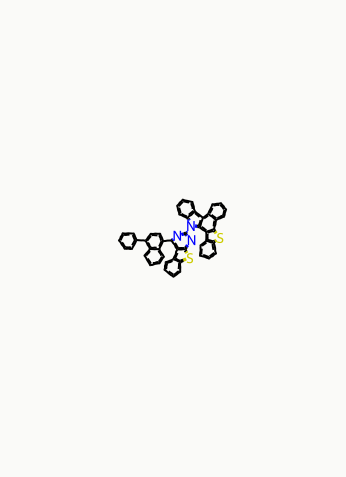 c1ccc(-c2ccc(-c3nc(-n4c5ccccc5c5c6ccccc6c6sc7ccccc7c6c54)nc4sc5ccccc5c34)c3ccccc23)cc1